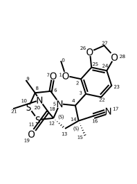 COc1c(C2N3C(=O)C4(C)SS[C@@]3(C[C@]2(C)C#N)C(=O)N4C)ccc2c1OCO2